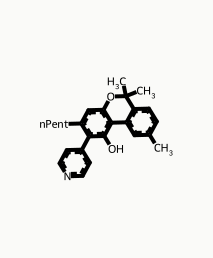 CCCCCc1cc2c(c(O)c1-c1ccncc1)-c1cc(C)ccc1C(C)(C)O2